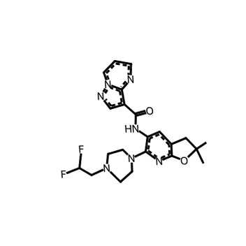 CC1(C)Cc2cc(NC(=O)c3cnn4cccnc34)c(N3CCN(CC(F)F)CC3)nc2O1